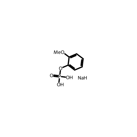 COc1ccccc1OP(=O)(O)O.[NaH]